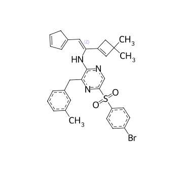 Cc1cccc(Cc2nc(S(=O)(=O)c3ccc(Br)cc3)cnc2N/C(=C\C2=CC=CC2)C2=CC(C)(C)C2)c1